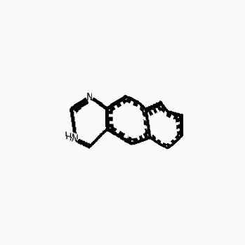 C1=Nc2cc3ccccc3cc2CN1